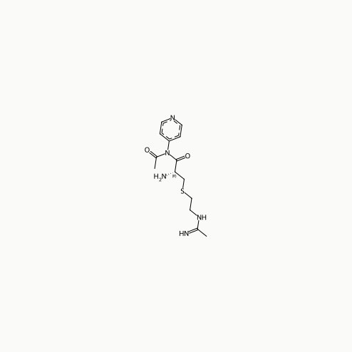 CC(=N)NCCSC[C@H](N)C(=O)N(C(C)=O)c1ccncc1